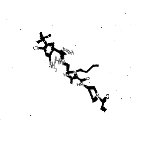 C=CC(=O)N1CC(NC(=O)c2c(C)nc(CNC(=N)c3cc(C(C)(C)C)c(Cl)cc3N)n2CCCC)C1